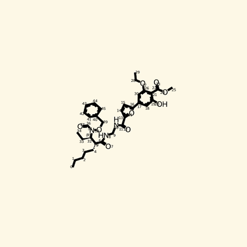 CCCCC[C@@H](C(=O)NCNC(=O)c1ccc(-c2cc(O)c(C(=O)OC)c(OCC)c2)o1)[C@@H](CC)N(C=O)OCc1ccccc1